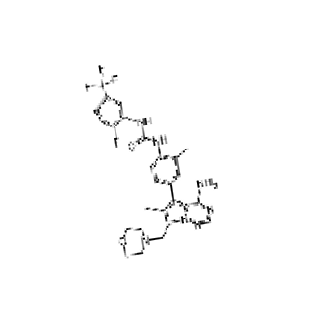 Cc1cc(-c2c(C)c(CN3CCOCC3)n3ncnc(N)c23)ccc1NC(=O)Nc1cc(C(F)(F)F)ccc1F